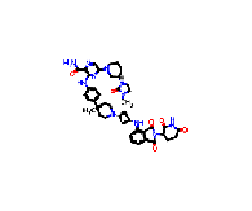 CN1CCN([C@H]2CCCN(c3cnc(C(N)=O)c(Nc4ccc(C5(C)CCN([C@H]6C[C@@H](Nc7cccc8c7C(=O)N(C7CCC(=O)NC7=O)C8=O)C6)CC5)cc4)n3)C2)C1=O